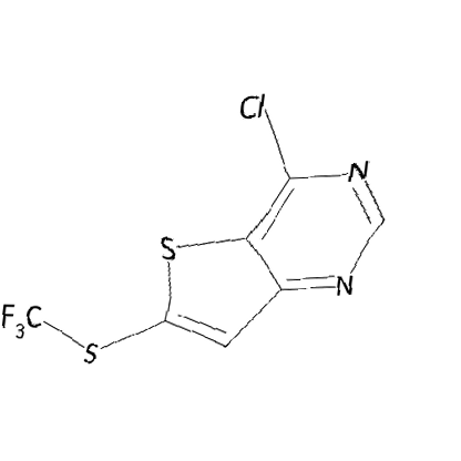 FC(F)(F)Sc1cc2ncnc(Cl)c2s1